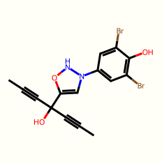 CC#CC(O)(C#CC)C1=CN(c2cc(Br)c(O)c(Br)c2)NO1